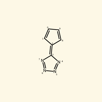 C1=CC(=C2N=NN=N2)C=C1